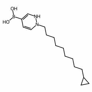 OB(O)C1=CNN(CCCCCCCCCC2CC2)C=C1